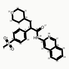 CS(=O)(=O)c1ccc(C(CC2CCOCC2)C(=O)Nc2cc3ccccc3cn2)cc1